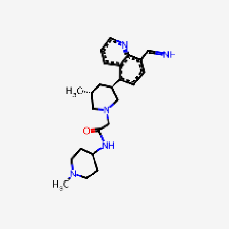 C[C@@H]1C[C@@H](c2ccc(C=N)c3ncccc23)CN(CC(=O)NC2CCN(C)CC2)C1